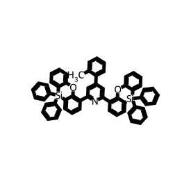 Cc1ccccc1-c1cc(-c2cccc3c2Oc2ccccc2[Si]3(c2ccccc2)c2ccccc2)nc(-c2cccc3c2Oc2ccccc2[Si]3(c2ccccc2)c2ccccc2)c1